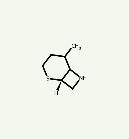 CC1CCS[C@H]2CNC12